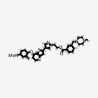 CNc1ccc(Oc2ccnc3cc(-c4cnn(CCOC(=O)c5cccc(CN6CCN(C)CC6)c5)c4)sc23)c(F)c1